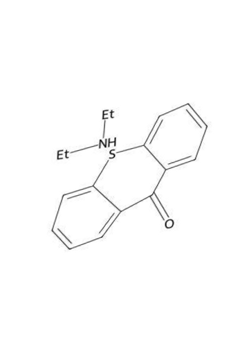 CCNCC.O=c1c2ccccc2sc2ccccc12